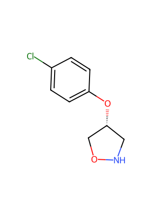 Clc1ccc(O[C@@H]2CNOC2)cc1